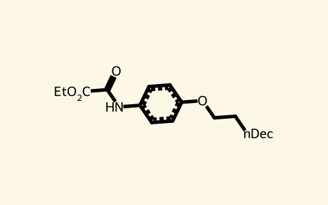 CCCCCCCCCCCCOc1ccc(NC(=O)C(=O)OCC)cc1